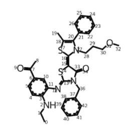 CCNc1ccc(C(C)=O)cc1N=C1SC(=C2SC(C)=C(c3ccccc3)N2CCCOC)C(=O)N1Cc1ccccc1